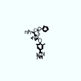 CCCC(OC(=S)Oc1ccccc1)c1nc(Oc2c(C)cc(-c3nnn(C)n3)cc2C)cn1C